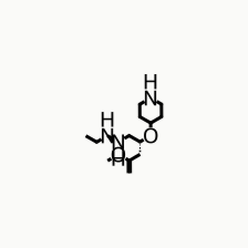 C=C(C[C@H](CNNCC)OC1CCNCC1)OC